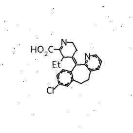 CCC1C(C(=O)O)=NCCC1=C1c2ccc(Cl)cc2CCc2cccnc21